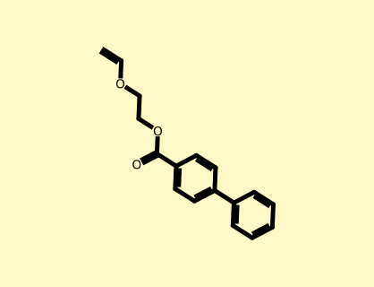 C=COCCOC(=O)c1ccc(-c2ccccc2)cc1